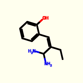 CCC(=Cc1ccccc1O)C(N)N